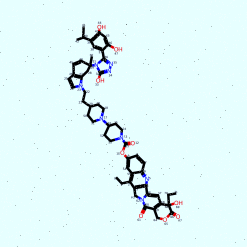 CCc1c2c(nc3ccc(OC(=O)N4CCC(N5CCC(CCn6ccc7c6CC(C)(n6c(O)nnc6-c6cc(C(C)C)c(O)cc6O)C=C7)CC5)CC4)cc13)-c1cc3c(c(=O)n1C2)COC(=O)C3(O)CC